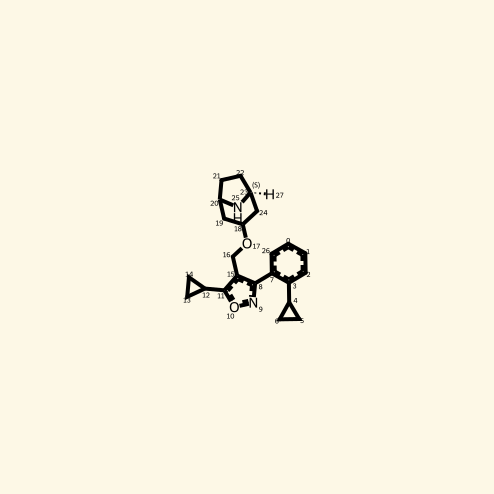 c1ccc(C2CC2)c(-c2noc(C3CC3)c2COC2CC3CC[C@@H](C2)N3)c1